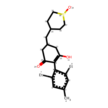 CCc1cc(C)cc(CC)c1C1=C(O)CC(CC2CC[S+]([O-])CC2)CC1=O